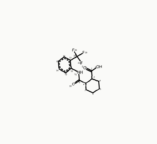 O=C(O)C1CCCCC1C(=O)Nc1ccccc1C(F)(F)F